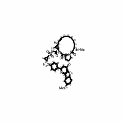 COc1ccc2oc3c(O[C@@H]4C[C@H]5C(=O)N[C@]6(C(=O)NS(=O)(=O)C7CC7)C[C@H]6/C=C\CCCCC[C@H](NC(C)=O)C(=O)N5C4)cc(-c4ccc(C)cc4)nc3c2c1